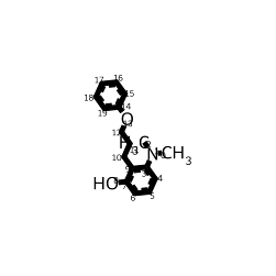 CN(C)c1cccc(O)c1CCCOc1ccccc1